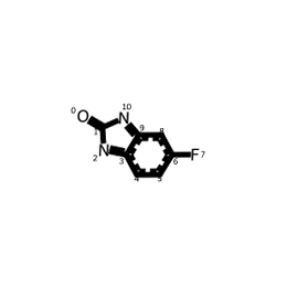 O=C1N=c2ccc(F)cc2=N1